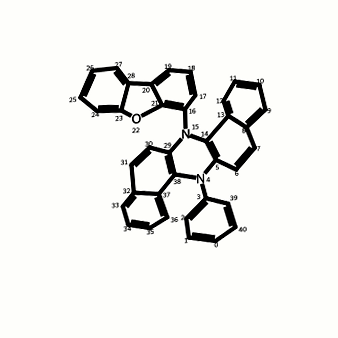 c1ccc(N2c3ccc4ccccc4c3N(c3cccc4c3oc3ccccc34)c3ccc4ccccc4c32)cc1